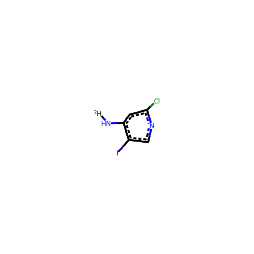 [2H]Nc1cc(Cl)ncc1I